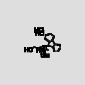 Cl.Cl.[CH2]=[Ti]([CH3])([CH2]CCO)([NH]C(C)(C)C)[CH]1c2ccccc2-c2ccccc21